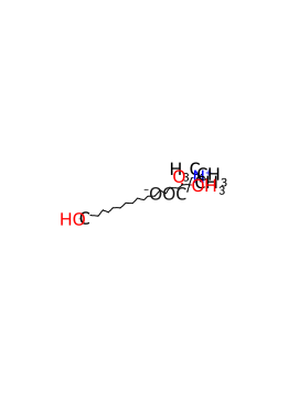 C[N+](C)(C)CC(O)(CC(=O)[O-])C(=O)CCCCCCCCCCCCCCCCCO